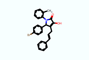 Cc1ccccc1N1C(=O)C(O)=C(C/C=C/c2ccccc2)C1c1ccc(Br)cc1